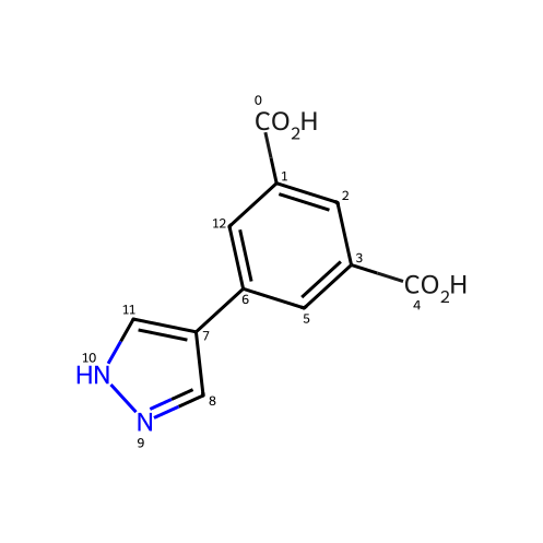 O=C(O)c1cc(C(=O)O)cc(-c2cn[nH]c2)c1